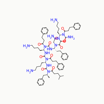 CC(C)CCC(=O)N(C(=O)N[C@@H](CCCCN)N(C(=O)CCc1ccccc1)C(=O)N[C@@H](CCCCN)N(C(=O)CCc1ccccc1)C(=O)N[C@@H](CCc1ccccc1)N(CC(N)=O)C(=O)C(=O)N[C@@H](CCCCN)N(C(N)=O)C(=O)CCc1ccccc1)[C@@H](C)Cc1ccccc1